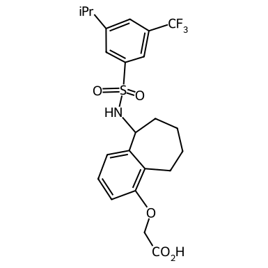 CC(C)c1cc(C(F)(F)F)cc(S(=O)(=O)NC2CCCCc3c(OCC(=O)O)cccc32)c1